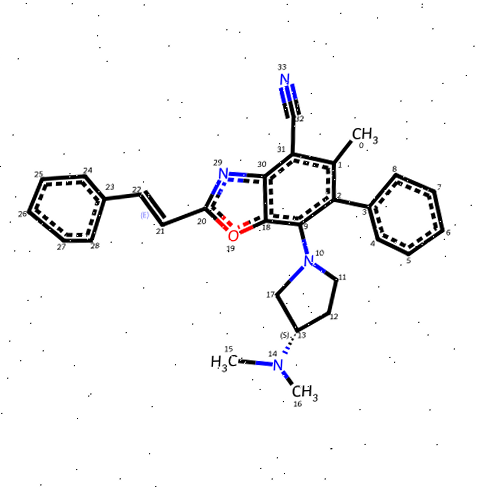 Cc1c(-c2ccccc2)c(N2CC[C@H](N(C)C)C2)c2oc(/C=C/c3ccccc3)nc2c1C#N